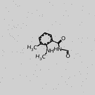 CNc1c(C)cccc1C(=O)NC=O